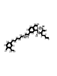 C=CCCC(C(=C)NC)N(C)Cc1cc(CCNCCCCCc2ccc(C)c(CC)c2)ccc1C=C